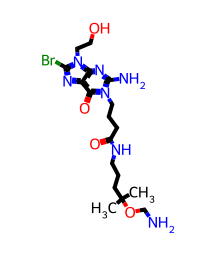 CC(C)(CCCNC(=O)CCCn1c(N)nc2c(nc(Br)n2CCO)c1=O)OCN